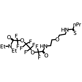 CCCC(=S)NCCOCCNC(=O)C(F)(F)OC(F)(F)C(F)(F)OC(F)(F)C(=O)N(CC)CC